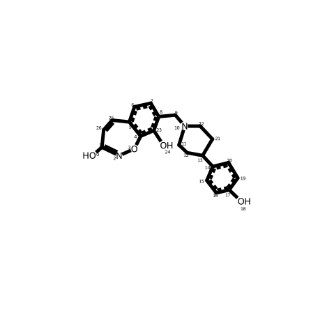 OC1=NOc2c(ccc(CN3CCC(c4ccc(O)cc4)CC3)c2O)C=C1